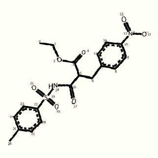 CCOC(=O)C(Cc1ccc([N+](=O)[O-])cc1)C(=O)NS(=O)(=O)c1ccc(C)cc1